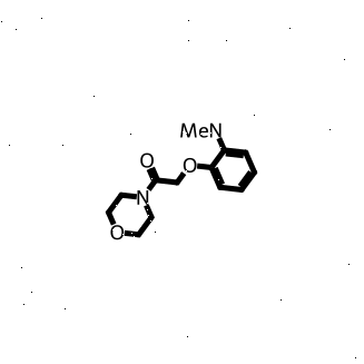 CNc1ccccc1OCC(=O)N1CCOCC1